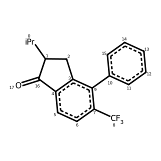 CC(C)C1Cc2c(ccc(C(F)(F)F)c2-c2ccccc2)C1=O